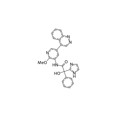 COc1ncc(-c2cnnc3ccccc23)cc1NC(=O)C(O)(c1ccccc1)c1ncc[nH]1